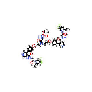 CC(C)(C)OC(=O)NCC(=O)N(CCCOc1ccc(-c2cnccc2C(=O)NCC(=O)N2CC(F)(F)C[C@H]2C#N)cc1)CCCOc1ccc(-c2cnccc2C(=O)NCC(=O)N2CC(F)(F)C[C@H]2C#N)cc1